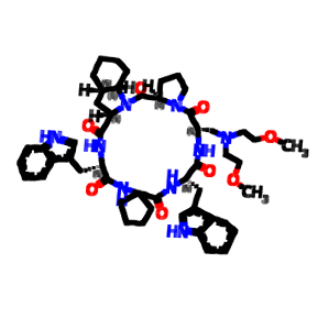 COCCN(CCOC)C[C@@H]1NC(=O)[C@H](Cc2c[nH]c3ccccc23)NC(=O)C2(CCCC2)NC(=O)[C@H](Cc2c[nH]c3ccccc23)NC(=O)[C@@H]2C[C@@H]3CCCC[C@@H]3N2C(=O)[C@H]2CCCN2C1=O